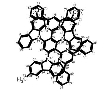 Cc1ccc2c(c1)c1ccccc1n2-c1cc(-n2c3ccccc3c3cc(C)ccc32)c(-c2nc(-c3ccccc3)cc(-c3ccccc3)n2)c(-n2c3ccccc3c3cc(C)ccc32)c1-c1nc(-c2ccccc2)cc(-c2ccccc2)n1